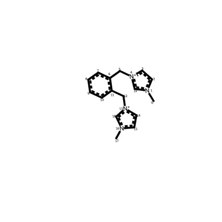 Cn1cc[n+](Cc2ccccc2C[n+]2ccn(C)c2)c1